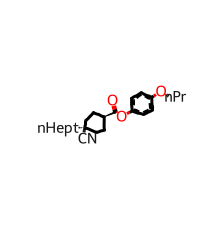 CCCCCCC[C@]1(C#N)CC[C@@H](C(=O)Oc2ccc(OCCC)cc2)CC1